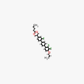 C=CCCC1OCC(c2ccc(-c3ccc(-c4ccc(OCC=C)c(F)c4F)cc3)c(F)c2)CO1